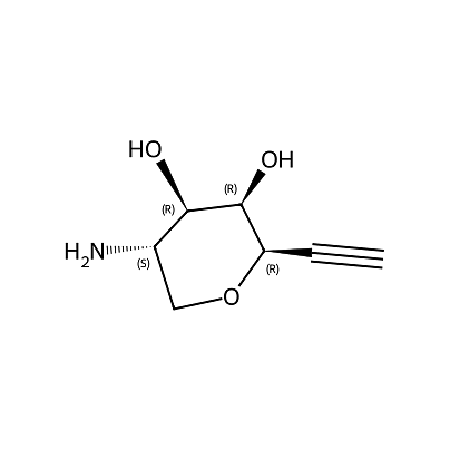 C#C[C@H]1OC[C@H](N)[C@@H](O)[C@H]1O